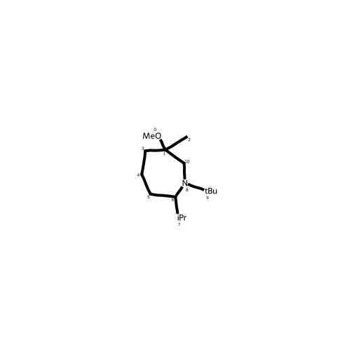 COC1(C)CCCC(C(C)C)N(C(C)(C)C)C1